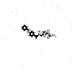 CC(=O)Nc1nnc(CNC2CC2c2ccc(OCc3ccccc3)cc2)o1